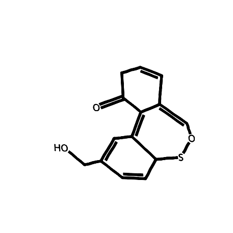 O=C1CC=CC2=COSC3C=CC(CO)=CC3=C12